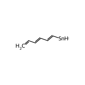 C=CC=CC=[CH][SnH]